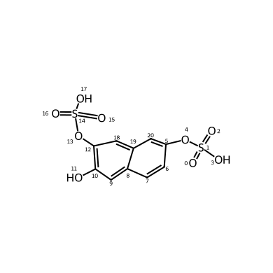 O=S(=O)(O)Oc1ccc2cc(O)c(OS(=O)(=O)O)cc2c1